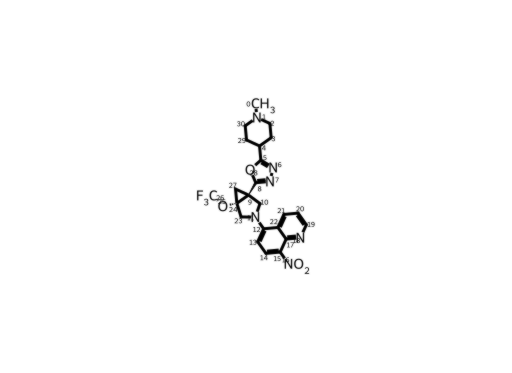 CN1CCC(c2nnc([C@@]34CN(c5ccc([N+](=O)[O-])c6ncccc56)C[C@@]3(OC(F)(F)F)C4)o2)CC1